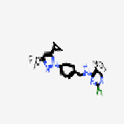 O=[N+]([O-])c1cnc(Cl)nc1NCc1ccc(-n2nc(C(F)(F)F)cc2C2CC2)cc1